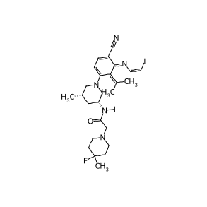 CC(C)=C1C(N2C[C@@H](C)C[C@@H](N(I)C(=O)CN3CCC(C)(F)CC3)C2)=CC=C(C#N)/C1=N/C=C\I